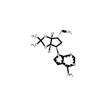 C=C[C@@H]1C[C@@H](n2ccc3c(N)ncnc32)[C@@H]2OC(C)(C)O[C@@H]21